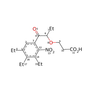 CCc1cc(C(=O)C(CC)OCCC(=O)O)c([N+](=O)[O-])c(CC)c1CC